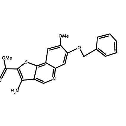 COC(=O)c1sc2c(cnc3cc(OCc4ccccc4)c(OC)cc32)c1N